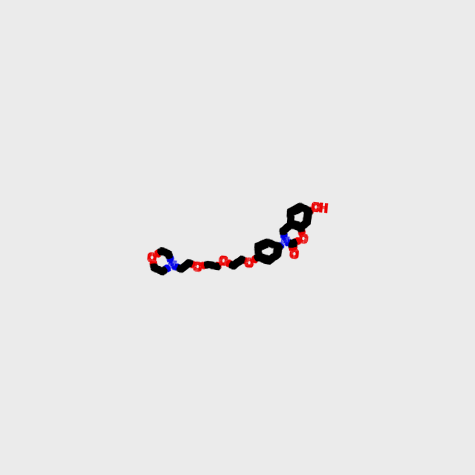 O=C1Oc2cc(O)ccc2CN1c1ccc(OCCOCCOCCN2CCOCC2)cc1